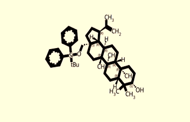 C=C(C)[C@@H]1CC[C@]2(CO[Si](c3ccccc3)(c3ccccc3)C(C)(C)C)CC[C@]3(C)[C@H](CC[C@@H]4[C@@]5(C)CC[C@H](O)C(C)(C)[C@@H]5CC[C@]43C)[C@@H]12